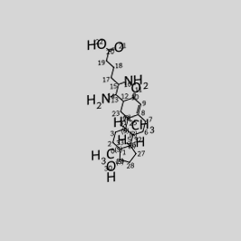 C[C@]12CC[C@H]3[C@@H](CCC4=CC(=O)C(C(N)C(N)CCCC(=O)O)C[C@@]43C)[C@@H]1CC[C@@H]2O